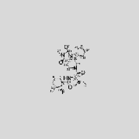 CC[C@@H](C)[C@@H](NC(=O)c1cccc(C)c1F)C(=O)N1CCC2(CC1)C(=O)N(C)C(=O)N2c1ccccc1